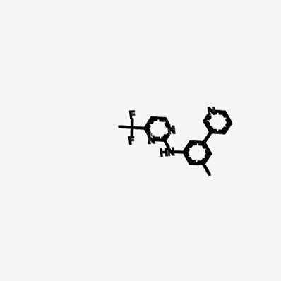 Cc1cc(Nc2nccc(C(C)(F)F)n2)cc(-c2cccnc2)c1